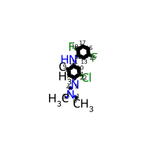 CCN(C)C=Nc1cc(C)c(Nc2cc(F)ccc2F)cc1Cl